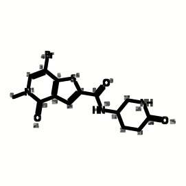 Cn1cc(Br)c2sc(C(=O)NC3CCC(=O)NC3)cc2c1=O